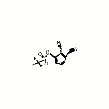 N#Cc1cccc(OS(=O)(=O)C(F)(F)F)c1C#N